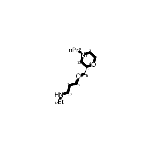 CCCN1CCO[C@H](COCCCNCC)C1